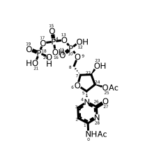 CC(=O)Nc1ccn([C@@H]2O[C@H](COP(=O)(O)OP(=O)(O)OP(=O)(O)O)[C@@H](O)[C@H]2OC(C)=O)c(=O)n1